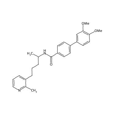 COc1ccc(-c2ccc(C(=O)NC(C)CCCc3cccnc3C)cc2)cc1OC